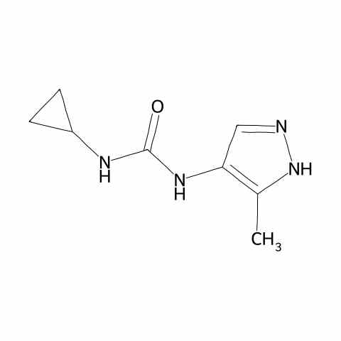 Cc1[nH]ncc1NC(=O)NC1CC1